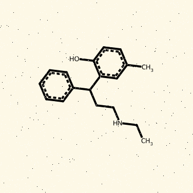 CCNCCC(c1ccccc1)c1cc(C)ccc1O